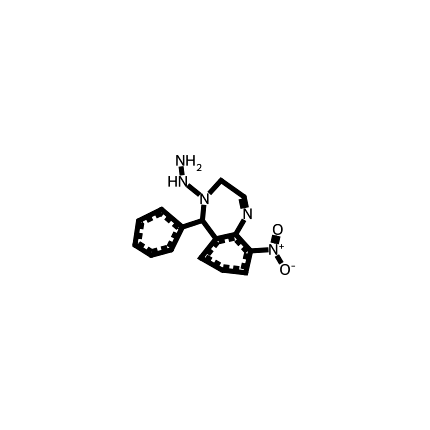 NNN1CC=Nc2c(cccc2[N+](=O)[O-])C1c1ccccc1